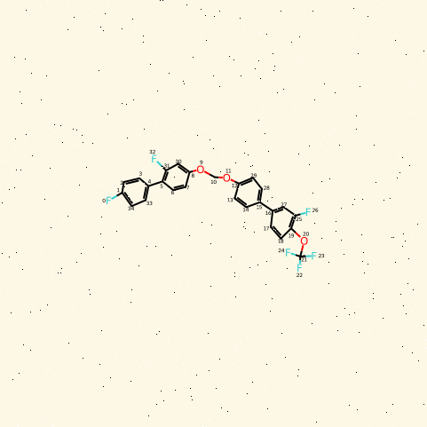 Fc1ccc(-c2ccc(OCOc3ccc(-c4ccc(OC(F)(F)F)c(F)c4)cc3)cc2F)cc1